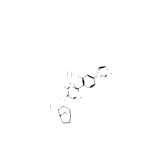 C[C@]12CC[C@](C)(C1)[C@H](F)[C@H](Oc1cnc(-c3ccc(-n4ccnc4)cc3O)nn1)C2